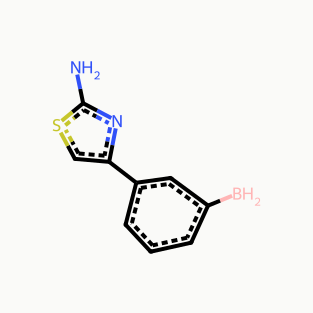 Bc1cccc(-c2csc(N)n2)c1